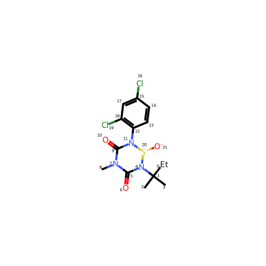 CCC(C)(C)N1C(=O)N(C)C(=O)N(c2ccc(Cl)cc2Cl)[S+]1[O-]